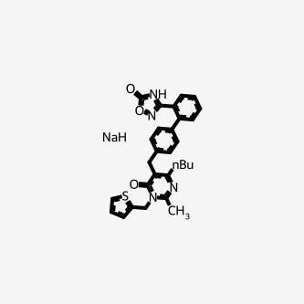 CCCCc1nc(C)n(Cc2cccs2)c(=O)c1Cc1ccc(-c2ccccc2-c2noc(=O)[nH]2)cc1.[NaH]